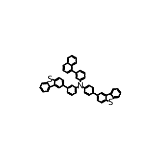 c1cc(-c2ccc3sc4ccccc4c3c2)cc(N(c2ccc(-c3ccc4sc5ccccc5c4c3)cc2)c2cccc(-c3cccc4ccccc34)c2)c1